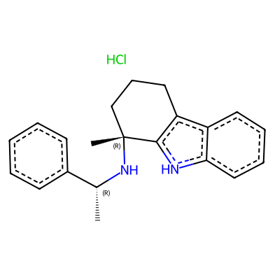 C[C@@H](N[C@]1(C)CCCc2c1[nH]c1ccccc21)c1ccccc1.Cl